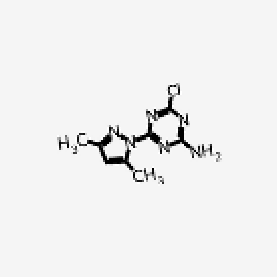 Cc1cc(C)n(-c2nc(N)nc(Cl)n2)n1